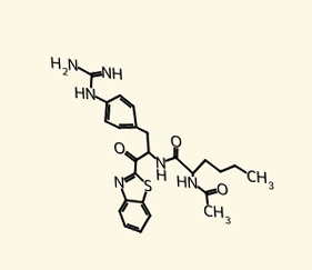 CCCCC(NC(C)=O)C(=O)NC(Cc1ccc(NC(=N)N)cc1)C(=O)c1nc2ccccc2s1